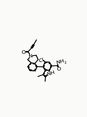 CC#CC(=O)N1CCc2c(cccc2-c2c(Cl)cc(C(N)=O)c3[nH]c(C)c(C)c23)C1